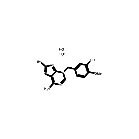 COc1ccc(Cn2cnc(N)c3nc(C(C)C)nc2-3)cc1O.Cl.O